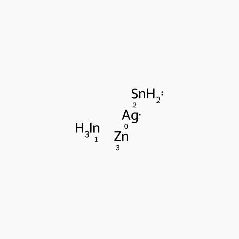 [Ag].[InH3].[SnH2].[Zn]